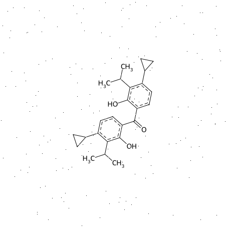 CC(C)c1c(C2CC2)ccc(C(=O)c2ccc(C3CC3)c(C(C)C)c2O)c1O